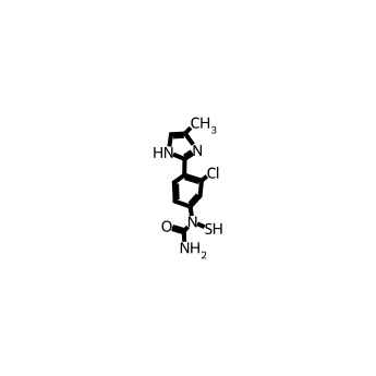 Cc1c[nH]c(-c2ccc(N(S)C(N)=O)cc2Cl)n1